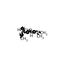 CCCN(CCC)Cc1ccc(NC(=O)c2ccc(CN(Cc3ccc(CC)cn3)C(C)c3ncc[nH]3)cc2)cc1